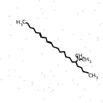 CCCCC/C=C/C/C=C/CCCCCCCC(CCCCC)N(C)C